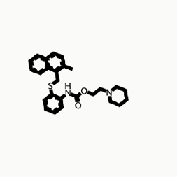 Cc1ccc2ccccc2c1CSc1ccccc1NC(=O)OCCN1CCCCC1